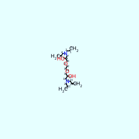 C=CCN(CC=C)CC(O)COCCOCC(O)CN(CC=C)CC=C